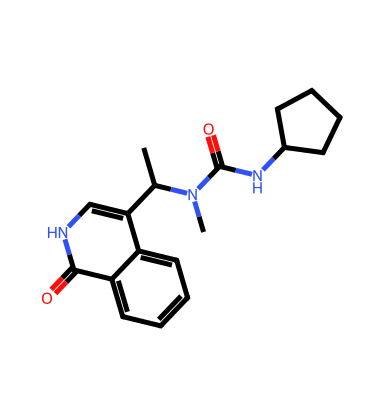 CC(c1c[nH]c(=O)c2ccccc12)N(C)C(=O)NC1CCCC1